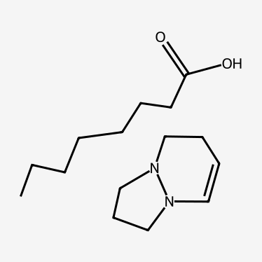 C1=CN2CCCN2CC1.CCCCCCCC(=O)O